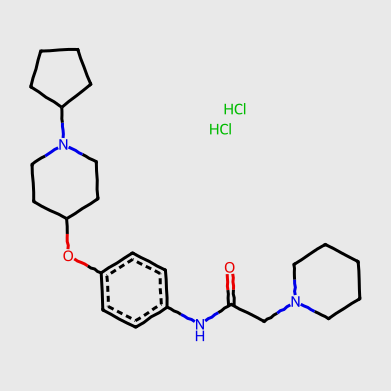 Cl.Cl.O=C(CN1CCCCC1)Nc1ccc(OC2CCN(C3CCCC3)CC2)cc1